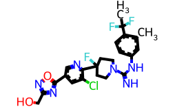 Cc1cc(NC(=N)N2CCC(F)(c3ncc(-c4nc(CO)no4)cc3Cl)CC2)ccc1C(C)(F)F